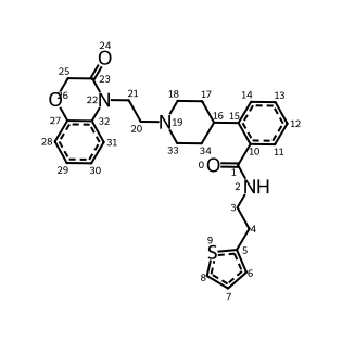 O=C(NCCc1cccs1)c1ccccc1C1CCN(CCN2C(=O)COc3ccccc32)CC1